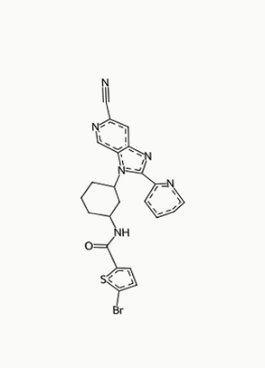 N#Cc1cc2nc(-c3ccccn3)n(C3CCCC(NC(=O)c4ccc(Br)s4)C3)c2cn1